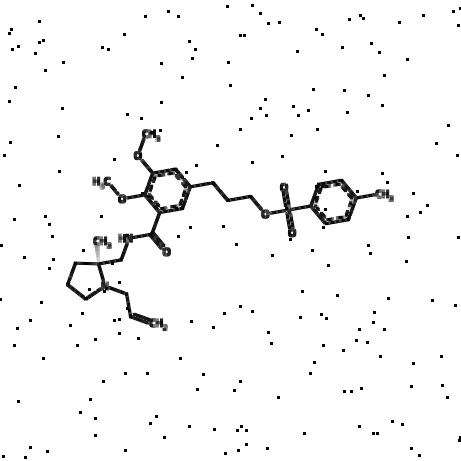 C=CCN1CCC[C@@]1(C)CNC(=O)c1cc(CCCOS(=O)(=O)c2ccc(C)cc2)cc(OC)c1OC